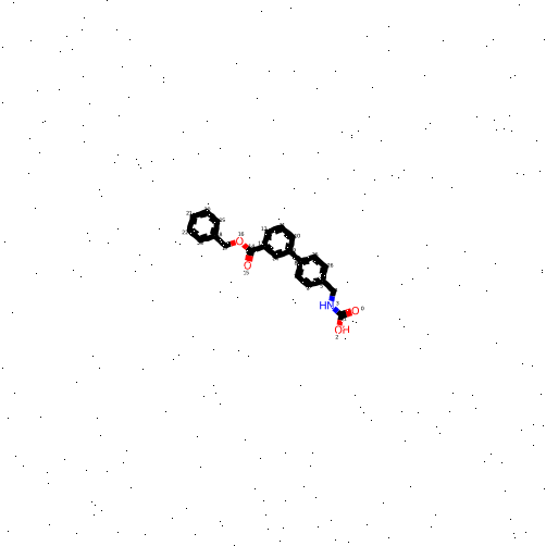 O=C(O)NCc1ccc(-c2cccc(C(=O)OCc3ccccc3)c2)cc1